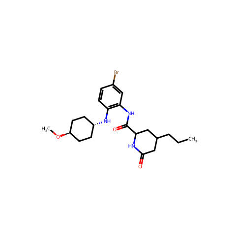 CCCC1CC(=O)NC(C(=O)Nc2cc(Br)ccc2N[C@H]2CC[C@H](OC)CC2)C1